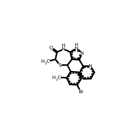 Cc1cc(Br)ccc1C1SC(C)C(=O)Nc2[nH]nc(-c3ccccn3)c21